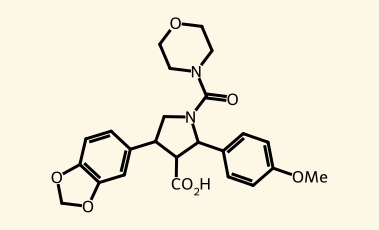 COc1ccc(C2C(C(=O)O)C(c3ccc4c(c3)OCO4)CN2C(=O)N2CCOCC2)cc1